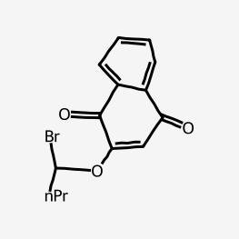 CCCC(Br)OC1=CC(=O)c2ccccc2C1=O